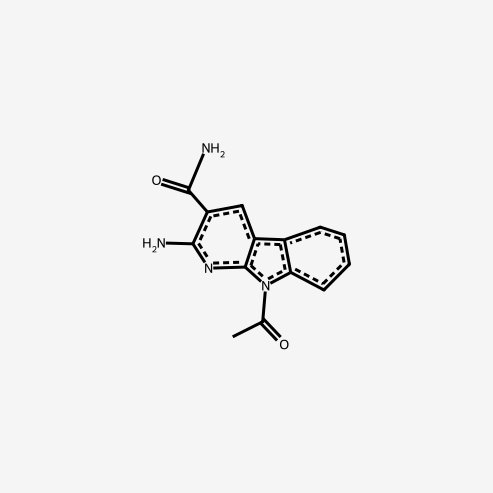 CC(=O)n1c2ccccc2c2cc(C(N)=O)c(N)nc21